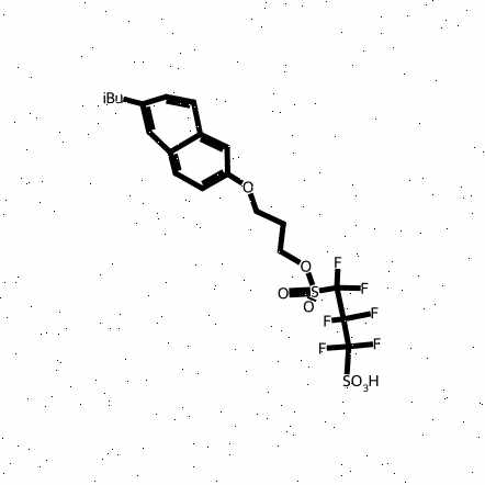 CCC(C)c1ccc2cc(OCCCOS(=O)(=O)C(F)(F)C(F)(F)C(F)(F)S(=O)(=O)O)ccc2c1